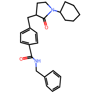 O=C(NCc1ccccc1)c1ccc(CC2CCN(C3CCCCC3)C2=O)cc1